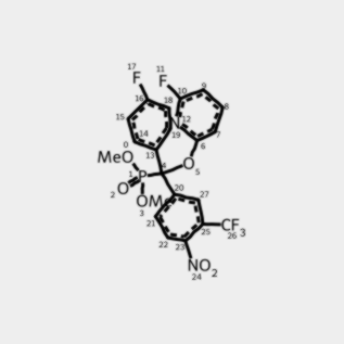 COP(=O)(OC)C(Oc1cccc(F)n1)(c1ccc(F)cc1)c1ccc([N+](=O)[O-])c(C(F)(F)F)c1